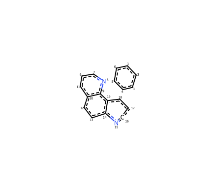 c1ccccc1.c1cnc2c(c1)ccc1ncccc12